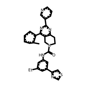 CCc1cc(NC(=O)N2CCc3nc(-c4cccnc4)nc(-c4ccccc4C)c3C2)cc(-c2cscn2)c1